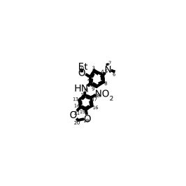 CCOc1cc(N(C)C)ccc1Nc1cc2c(cc1[N+](=O)[O-])OCO2